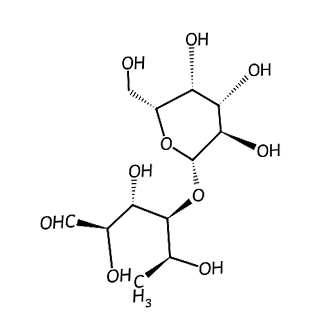 C[C@H](O)[C@H](O[C@@H]1O[C@H](CO)[C@H](O)[C@H](O)[C@H]1O)[C@@H](O)[C@@H](O)C=O